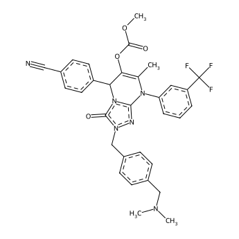 COC(=O)OC1=C(C)N(c2cccc(C(F)(F)F)c2)c2nn(Cc3ccc(CN(C)C)cc3)c(=O)n2C1c1ccc(C#N)cc1